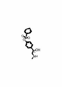 CNC[C@H](O)c1ccc(OS(=O)(=O)c2ccccc2)cc1